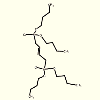 CCCCO[Si](Cl)(CC=CC[Si](Cl)(OCCCC)OCCCC)OCCCC